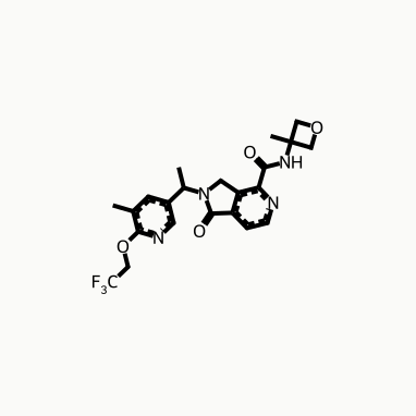 Cc1cc(C(C)N2Cc3c(ccnc3C(=O)NC3(C)COC3)C2=O)cnc1OCC(F)(F)F